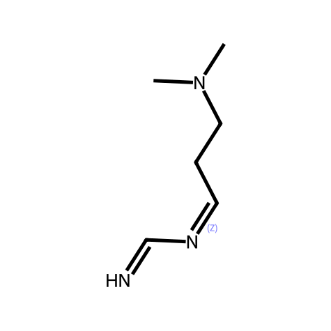 CN(C)CC/C=N\C=N